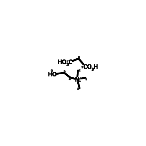 C[N+](C)(C)CCO.O=C(O)CC(=O)O